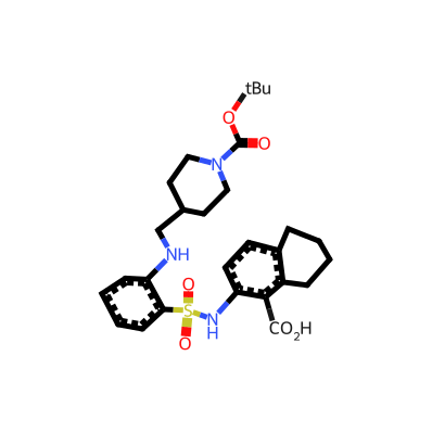 CC(C)(C)OC(=O)N1CCC(CNc2ccccc2S(=O)(=O)Nc2ccc3c(c2C(=O)O)CCCC3)CC1